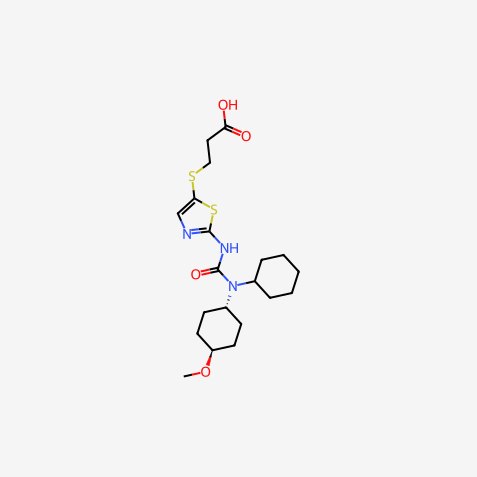 CO[C@H]1CC[C@H](N(C(=O)Nc2ncc(SCCC(=O)O)s2)C2CCCCC2)CC1